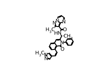 Cc1nn2cccnc2c1C(=O)N[C@H](C)c1cc2cccc(/C=C\c3cnn(C)c3)c2c(=O)n1-c1ccccc1